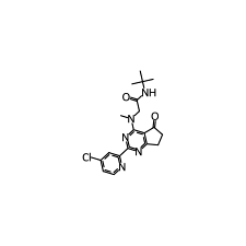 CN(CC(=O)NC(C)(C)C)c1nc(-c2cc(Cl)ccn2)nc2c1C(=O)CC2